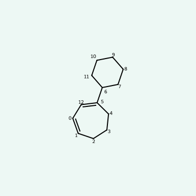 C1=CCCCC(C2CCCCC2)=C1